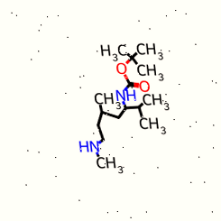 CNCCC(C)CC(NC(=O)OC(C)(C)C)C(C)C